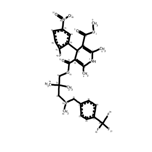 COC(=O)C1=C(C)NC(C)=C(C(=O)OCC(C)(C)CN(C)Cc2ccc(C(F)(F)F)cc2)C1c1cc([N+](=O)[O-])ccc1F